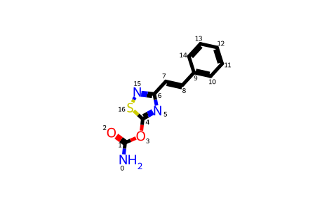 NC(=O)Oc1nc(/C=C/c2ccccc2)ns1